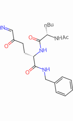 CCCC[C@H](NC(C)=O)C(=O)N[C@@H](CCC(=O)C=N)C(=O)NCc1ccccc1